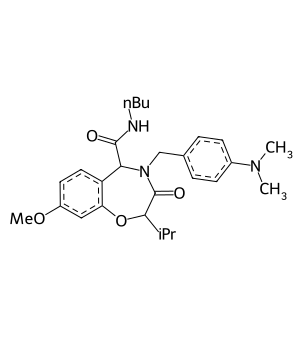 CCCCNC(=O)C1c2ccc(OC)cc2OC(C(C)C)C(=O)N1Cc1ccc(N(C)C)cc1